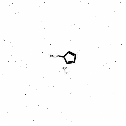 O.O=C(O)C1C=CC=C1.[Fe]